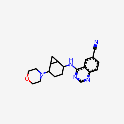 N#Cc1ccc2ncnc(NC3CCC(N4CCOCC4)C4CC34)c2c1